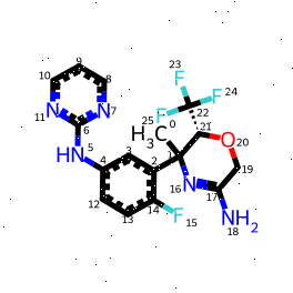 CC1(c2cc(Nc3ncccn3)ccc2F)N=C(N)CO[C@H]1C(F)(F)F